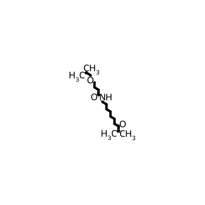 CC(C)COCCCC(=O)NCCCCCCCC(=O)C(C)C